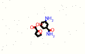 NC(=O)c1cccc(N)c1.O=C(O)c1ccco1